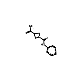 NC(=O)C1CN(C(=O)Nc2ccccc2)C1